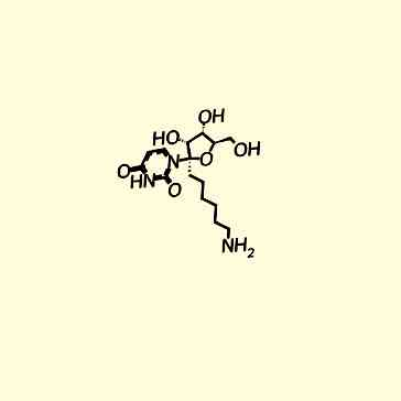 NCCCCCC[C@@]1(n2ccc(=O)[nH]c2=O)O[C@H](CO)[C@@H](O)[C@H]1O